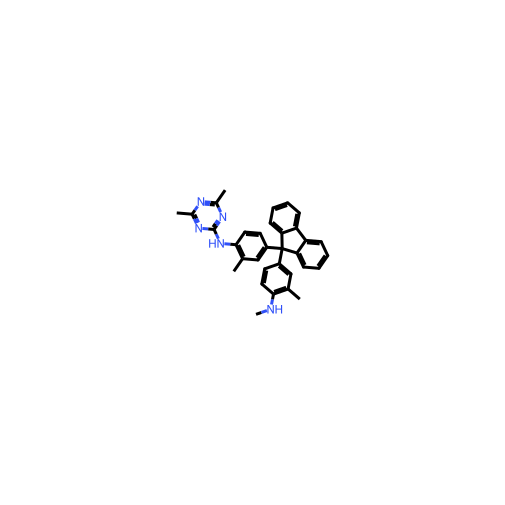 CNc1ccc(C2(c3ccc(Nc4nc(C)nc(C)n4)c(C)c3)c3ccccc3-c3ccccc32)cc1C